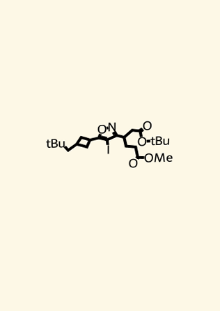 COC(=O)CCC(CC(=O)OC(C)(C)C)c1noc(C2CC(CC(C)(C)C)C2)c1I